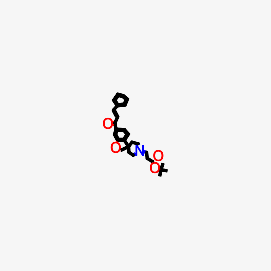 CC(C)(C)OC(=O)CCN1CCC2(CC1)COc1cc(C(=O)C=Cc3ccccc3)ccc12